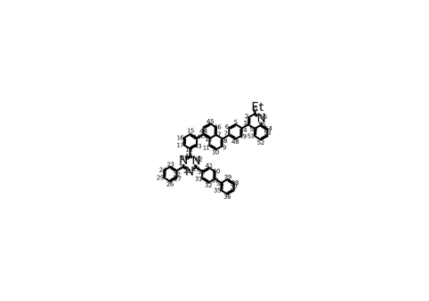 CCc1cc(-c2ccc(-c3cccc4c(-c5cccc(-c6nc(-c7ccccc7)nc(-c7ccc(-c8ccccc8)cc7)n6)c5)cccc34)cc2)c2ccccc2n1